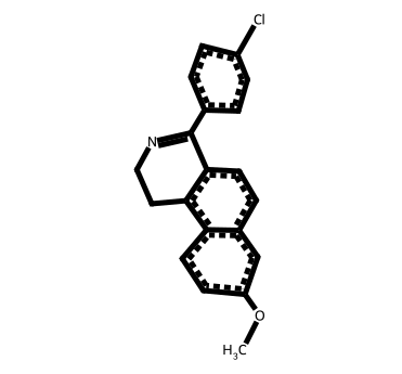 COc1ccc2c3c(ccc2c1)C(c1ccc(Cl)cc1)=NCC3